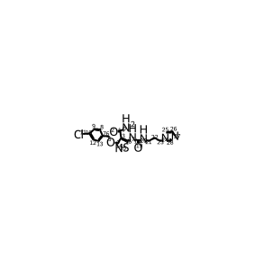 NC(=O)c1c(OCc2ccc(Cl)cc2)nsc1NC(=O)NCCCn1ccnc1